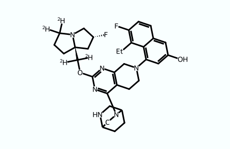 [2H]C1([2H])CC[C@@]2(C([2H])([2H])Oc3nc4c(c(N5CC6CCC5CN6)n3)CCN(c3cc(O)cc5ccc(F)c(CC)c35)C4)C[C@@H](F)CN12